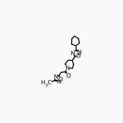 Cc1noc(CC(=O)N2CCC(c3nc(C4CCCCC4)no3)CC2)n1